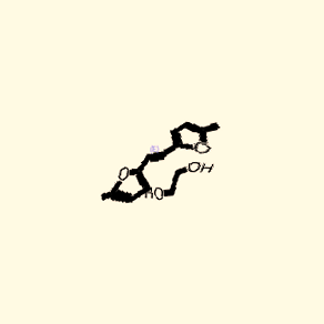 Cc1ccc(/C=C/c2ccc(C)o2)o1.OCCO